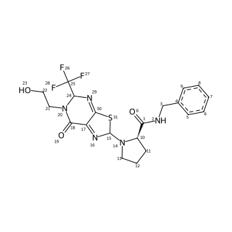 O=C(NCc1ccccc1)[C@H]1CCCN1C1N=C2C(=O)N(CCO)C(C(F)(F)F)N=C2S1